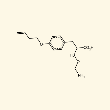 C=CCCOc1ccc(CC(BOCN)C(=O)O)cc1